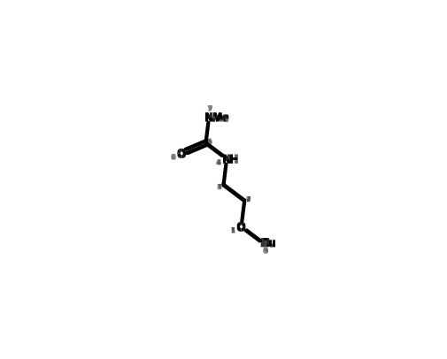 CCC(C)OCCNC(=O)NC